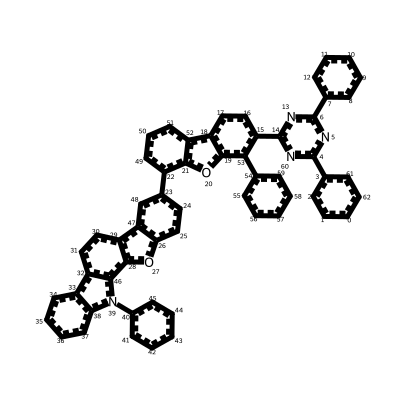 c1ccc(-c2nc(-c3ccccc3)nc(-c3ccc4c(oc5c(-c6ccc7oc8c(ccc9c%10ccccc%10n(-c%10ccccc%10)c98)c7c6)cccc54)c3-c3ccccc3)n2)cc1